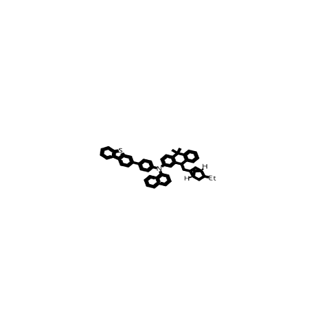 CCC1C[C@H]2C[C@@H]1CC2CC1c2ccccc2C(C)(C)c2ccc(N(c3ccc(-c4ccc5c(c4)sc4ccccc45)cc3)c3cccc4ccccc34)cc21